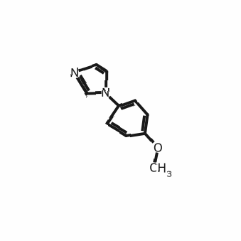 COc1ccc(-n2[c]ncc2)cc1